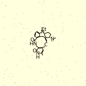 CCN(c1cccc2c1CC=CCCc1cc(C)[nH]c(=O)c1CNC2=O)[C@H]1CC[C@@H](N(C)C)CC1